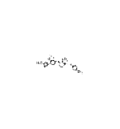 COc1cc(/C=C2\CCCN3C2=NOC[C@@H]3CSc2ccc(C)cc2)ccc1-n1cnc(C)c1